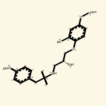 CCCCCCOc1ccc(OC[C@H](O)CNC(C)(C)Cc2ccc(OC)cc2)c(C#N)c1